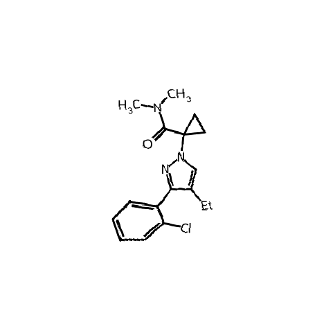 CCc1cn(C2(C(=O)N(C)C)CC2)nc1-c1ccccc1Cl